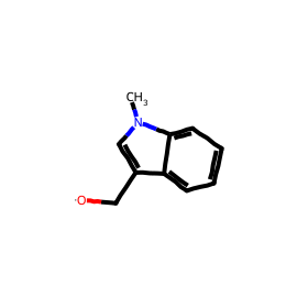 Cn1cc(C[O])c2ccccc21